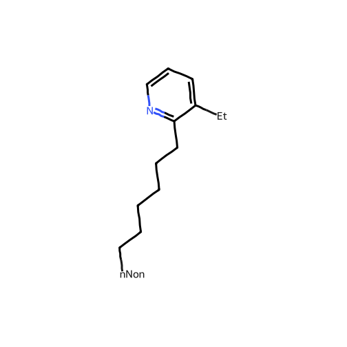 CCCCCCCCCCCCCCCc1ncccc1CC